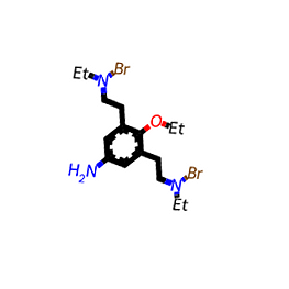 CCOc1c(CCN(Br)CC)cc(N)cc1CCN(Br)CC